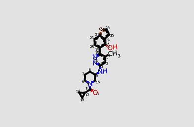 Cc1cc(NC2CCCN(C(=O)C3CC3)C2)nnc1-c1ccc2sccc2c1O